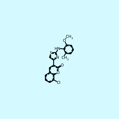 COc1cccc(C)c1Nc1nc(-c2cc3cccc(Cl)c3oc2=O)cs1